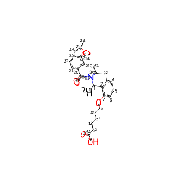 [2H]C(c1ccccc1OCCCCCC(=O)O)N(C(=O)c1ccc2cc(C)oc2c1)C(C)C